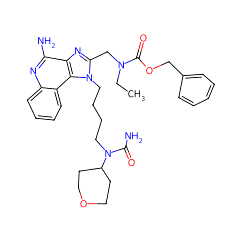 CCN(Cc1nc2c(N)nc3ccccc3c2n1CCCCN(C(N)=O)C1CCOCC1)C(=O)OCc1ccccc1